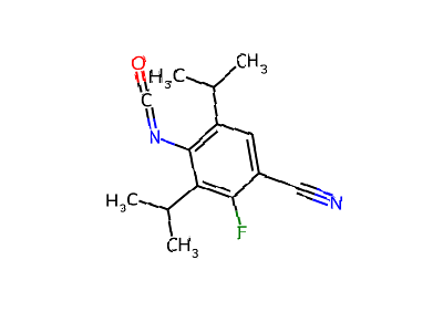 CC(C)c1cc(C#N)c(F)c(C(C)C)c1N=C=O